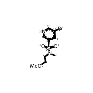 COCCN(C)S(=O)(=O)c1cncc(Br)c1